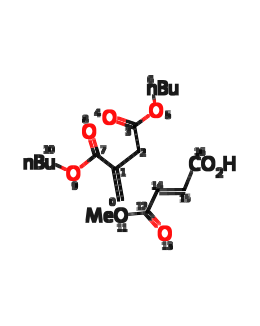 C=C(CC(=O)OCCCC)C(=O)OCCCC.COC(=O)/C=C/C(=O)O